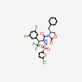 O=C1OC[C@H](Cc2ccccc2)N1C(=O)[C@@H](NS(=O)(=O)c1ccc(Cl)s1)C(c1cc(F)cc(F)c1)C(F)(F)F